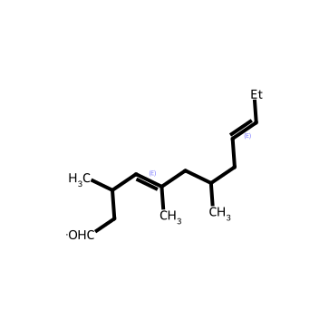 CC/C=C/CC(C)C/C(C)=C/C(C)C[C]=O